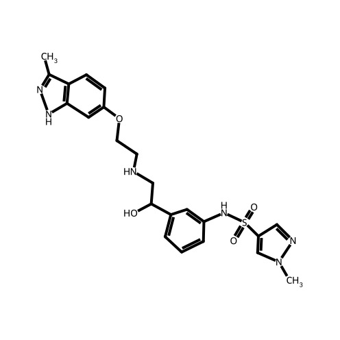 Cc1n[nH]c2cc(OCCNCC(O)c3cccc(NS(=O)(=O)c4cnn(C)c4)c3)ccc12